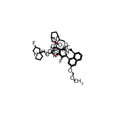 C#Cc1cccc2cc(OCOC)cc(-c3nc4c5c(nc(OCC67CCCN6CC(F)C7)nc5c3F)N3CC5CCC(C3CO4)N5C(=O)OC(C)(C)C)c12